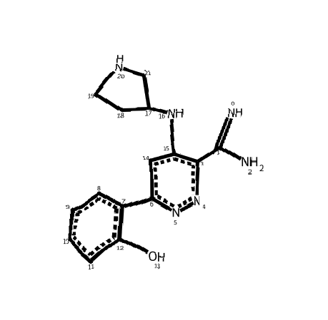 N=C(N)c1nnc(-c2ccccc2O)cc1NC1CCNC1